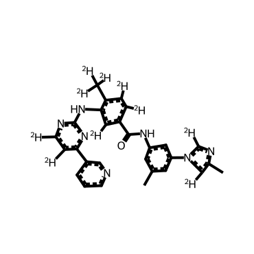 [2H]c1nc(Nc2c([2H])c(C(=O)Nc3cc(C)cc(-n4c([2H])nc(C)c4[2H])c3)c([2H])c([2H])c2C([2H])([2H])[2H])nc(-c2cccnc2)c1[2H]